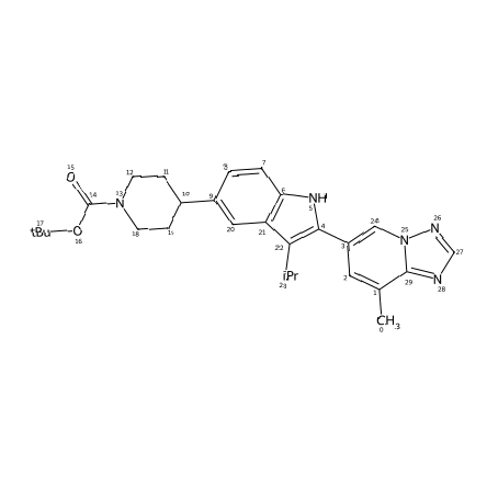 Cc1cc(-c2[nH]c3ccc(C4CCN(C(=O)OC(C)(C)C)CC4)cc3c2C(C)C)cn2ncnc12